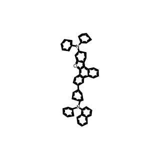 c1ccc(N(c2ccccc2)c2ccc3c(c2)oc2c4ccc(-c5ccc(N(c6ccccc6)c6cccc7ccccc67)cc5)cc4c4ccccc4c32)cc1